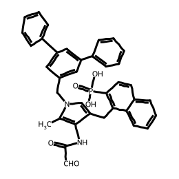 Cc1c(NC(=O)C=O)c(Cc2c(P(=O)(O)O)ccc3ccccc23)cn1Cc1cc(-c2ccccc2)cc(-c2ccccc2)c1